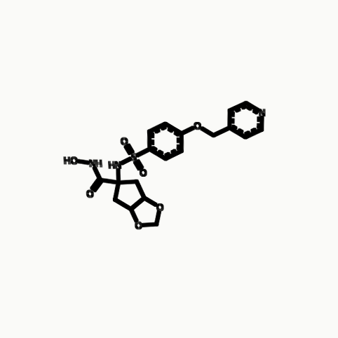 O=C(NO)C1(NS(=O)(=O)c2ccc(OCc3ccncc3)cc2)CC2OCOC2C1